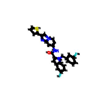 O=C(Nc1ccn2cc(-c3cccs3)nc2c1)c1cc2cc(F)ccc2n1Cc1cccc(F)c1